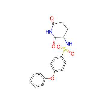 O=C1CCC(NS(=O)(=O)c2ccc(Oc3ccccc3)cc2)C(=O)N1